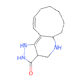 O=C1NNC2=C3C=CCCCCCC3NCC12